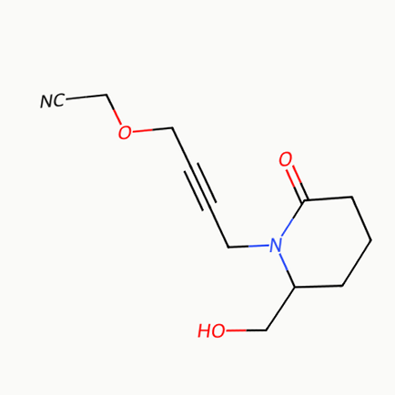 N#CCOCC#CCN1C(=O)CCCC1CO